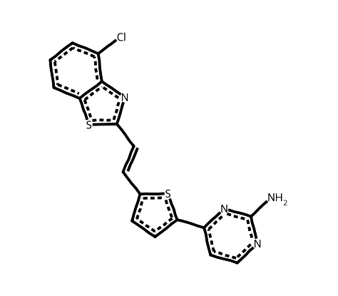 Nc1nccc(-c2ccc(C=Cc3nc4c(Cl)cccc4s3)s2)n1